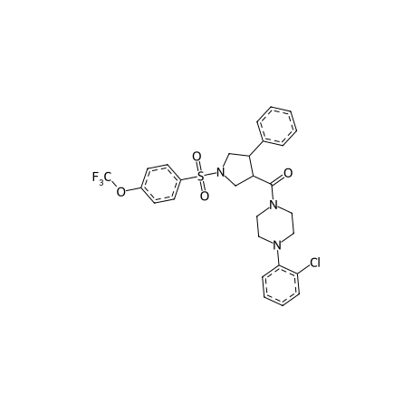 O=C(C1CN(S(=O)(=O)c2ccc(OC(F)(F)F)cc2)CC1c1ccccc1)N1CCN(c2ccccc2Cl)CC1